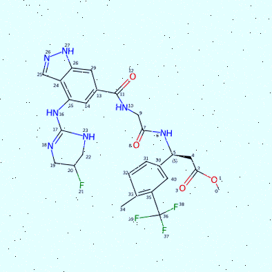 COC(=O)C[C@H](NC(=O)CNC(=O)c1cc(NC2=NCC(F)CN2)c2cn[nH]c2c1)c1ccc(C)c(C(F)(F)F)c1